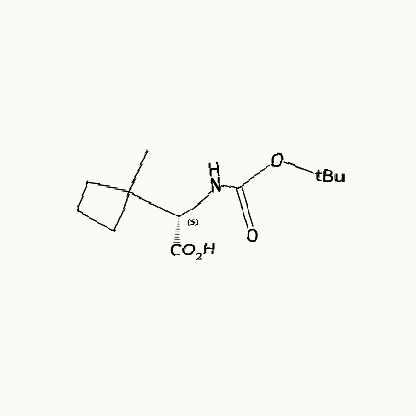 CC(C)(C)OC(=O)N[C@H](C(=O)O)C1(C)CCC1